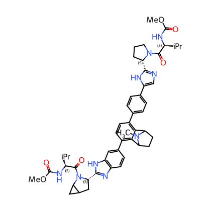 COC(=O)N[C@H](C(=O)N1CCC[C@H]1c1ncc(-c2ccc(-c3ccc(-c4ccc5nc([C@@H]6CC7CC7N6C(=O)[C@@H](NC(=O)OC)C(C)C)[nH]c5c4)c4c3C3CCC4N3C)cc2)[nH]1)C(C)C